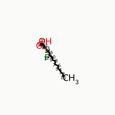 CCCCCCCCCCCC(F)CCSCCC(=O)O